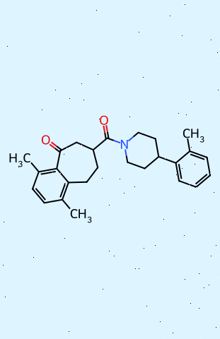 Cc1ccccc1C1CCN(C(=O)C2CCc3c(C)ccc(C)c3C(=O)C2)CC1